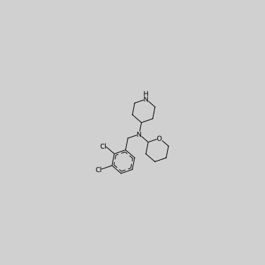 Clc1cccc(CN(C2CCNCC2)C2CCCCO2)c1Cl